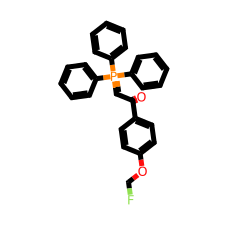 O=C(C=P(c1ccccc1)(c1ccccc1)c1ccccc1)c1ccc(OCF)cc1